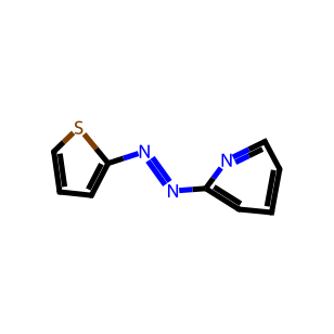 c1ccc(N=Nc2cccs2)nc1